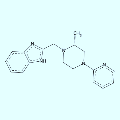 C[C@@H]1CN(c2ccccn2)CCN1Cc1nc2ccccc2[nH]1